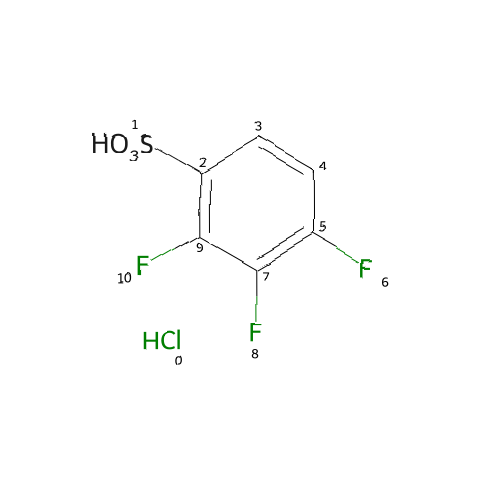 Cl.O=S(=O)(O)c1ccc(F)c(F)c1F